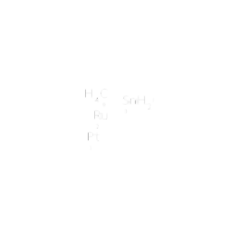 C.[Pt].[Ru].[SnH2]